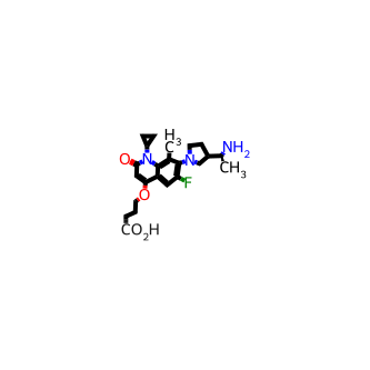 Cc1c(N2CCC([C@H](C)N)C2)c(F)cc2c(OCCCC(=O)O)cc(=O)n(C3CC3)c12